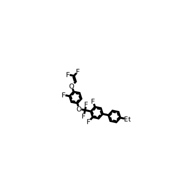 CCc1ccc(-c2cc(F)c(C(F)(F)Oc3ccc(OC=C(F)F)c(F)c3)c(F)c2)cc1